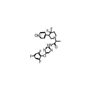 CC(C(=O)Nc1cnc(Oc2c(F)cc(F)cc2F)cn1)N1CCC(F)(F)C(c2cc[n+]([O-])cc2)C1